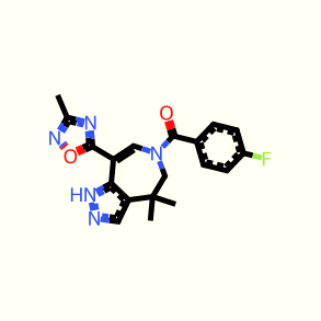 Cc1noc(C2=CN(C(=O)c3ccc(F)cc3)CC(C)(C)c3cn[nH]c32)n1